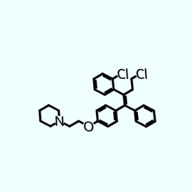 ClCC/C(=C(\c1ccccc1)c1ccc(OCCN2CCCCC2)cc1)c1ccccc1Cl